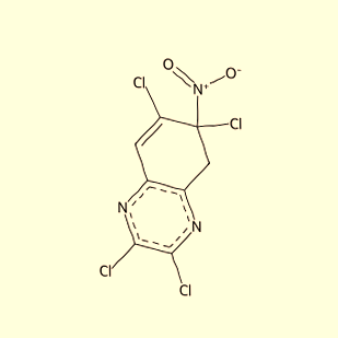 O=[N+]([O-])C1(Cl)Cc2nc(Cl)c(Cl)nc2C=C1Cl